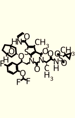 Cc1c(-c2ncco2)sc2c1c(=O)n([C@@H](C)C(=O)NS(=O)(=O)C1(C)CC1)c(=O)n2C[C@H](O[C@H]1C[C@H]2CC[C@@H](C1)O2)c1cc(F)ccc1OC(F)F